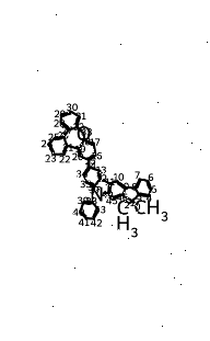 CC1(C)c2ccccc2-c2cc3c4cc(-c5ccc6c(c5)-c5ccccc5-c5ccccc5O6)ccc4n(-c4ccccc4)c3cc21